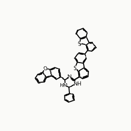 C1=Cc2c(sc3c(-c4ccc5sc6c(C7=NC(c8ccc9oc%10ccccc%10c9c8)NC(c8ccccc8)N7)cccc6c5c4)cccc23)CC1